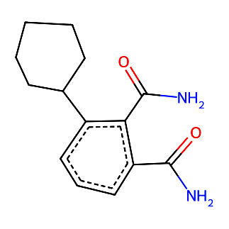 NC(=O)c1cccc(C2CCCCC2)c1C(N)=O